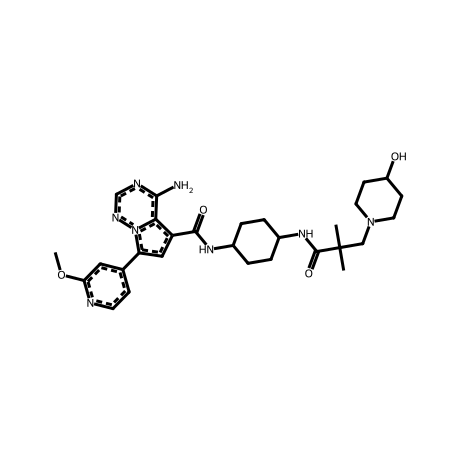 COc1cc(-c2cc(C(=O)NC3CCC(NC(=O)C(C)(C)CN4CCC(O)CC4)CC3)c3c(N)ncnn23)ccn1